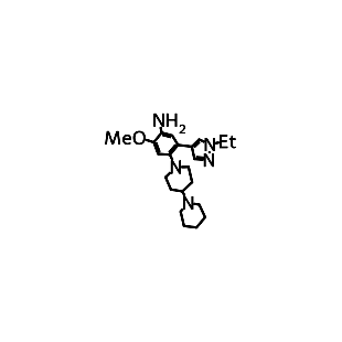 CCn1cc(-c2cc(N)c(OC)cc2N2CCC(N3CCCCC3)CC2)cn1